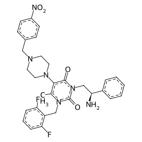 Cc1c(N2CCN(Cc3ccc([N+](=O)[O-])cc3)CC2)c(=O)n(C[C@H](N)c2ccccc2)c(=O)n1Cc1c(F)cccc1F